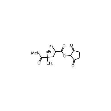 CCCC(C)(CC(CC)C(=O)OC1C(=O)CCC1=O)C(=O)NC